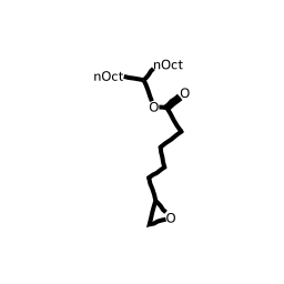 CCCCCCCCC(CCCCCCCC)OC(=O)CCCCC1CO1